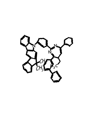 CCC1C=C(C2=CC=CCC2)N=C(C2=CCCC(n3c4ccccc4c4cc5c(cc43)C(C)(C)c3ccccc3-5)=C2)N=C1c1cccc(-c2ccccc2)c1